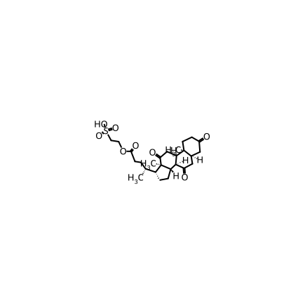 C[C@H](CCC(=O)OCCS(=O)(=O)O)[C@H]1CC[C@H]2[C@@H]3C(=O)C[C@@H]4CC(=O)CC[C@]4(C)[C@H]3CC(=O)[C@]12C